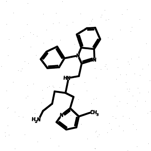 Cc1cccnc1CC(CCCN)NCc1nc2ccccc2n1-c1ccccc1